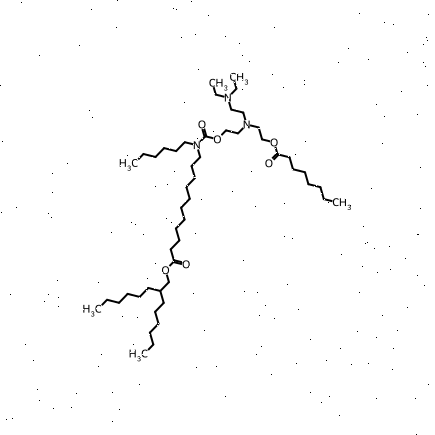 CCCCCCCC(=O)OCCN(CCOC(=O)N(CCCCCC)CCCCCCCCCCC(=O)OCC(CCCCCC)CCCCCC)CCN(CC)CC